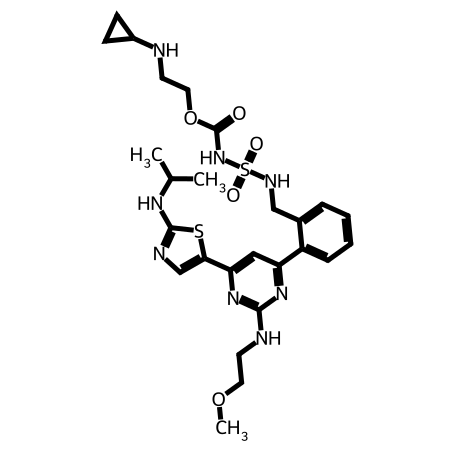 COCCNc1nc(-c2cnc(NC(C)C)s2)cc(-c2ccccc2CNS(=O)(=O)NC(=O)OCCNC2CC2)n1